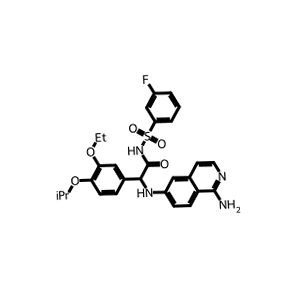 CCOc1cc(C(Nc2ccc3c(N)nccc3c2)C(=O)NS(=O)(=O)c2cccc(F)c2)ccc1OC(C)C